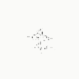 CCOC(=O)C(=O)OCC.N#CC(c1ccc(F)cc1)(c1ccc(F)cc1)C1CCNCC1